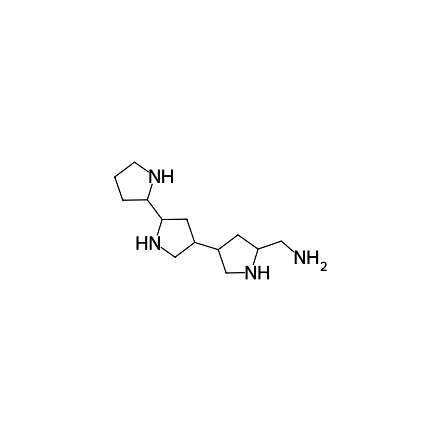 NCC1CC(C2CNC(C3CCCN3)C2)CN1